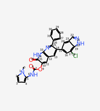 Cn1cccc1NC(=O)Oc1cc2cc(-c3cc(Cl)c4[nH]ncc4c3)c(-c3ccccc3)nc2[nH]c1=O